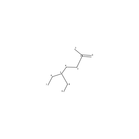 C=C(C)CCC(CC)CC